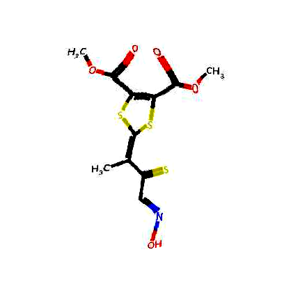 COC(=O)C1=C(C(=O)OC)SC(=C(C)C(=S)C=NO)S1